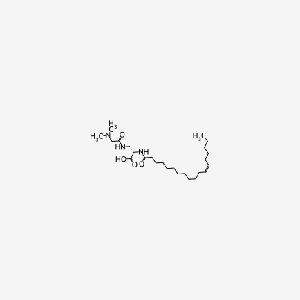 CCCCC/C=C\C/C=C\CCCCCCCC(=O)N[C@@H](CNC(=O)CN(C)C)C(=O)O